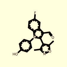 Cc1noc(C)c1-c1c(C=O)c2cc(F)ccc2n1-c1ccc(O)cc1